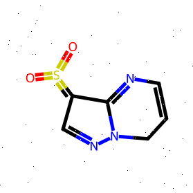 O=S(=O)=C1C=NN2CC=CN=C12